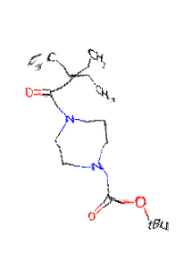 CC(C)(C)OC(=O)N1CCN(C(=O)C(C)(C)C(F)(F)F)CC1